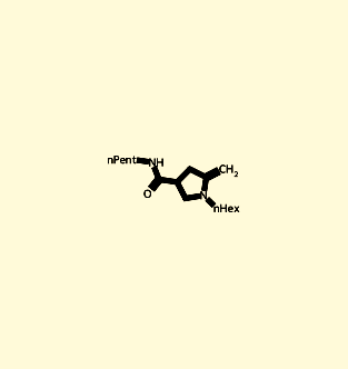 C=C1CC(C(=O)NCCCCC)CN1CCCCCC